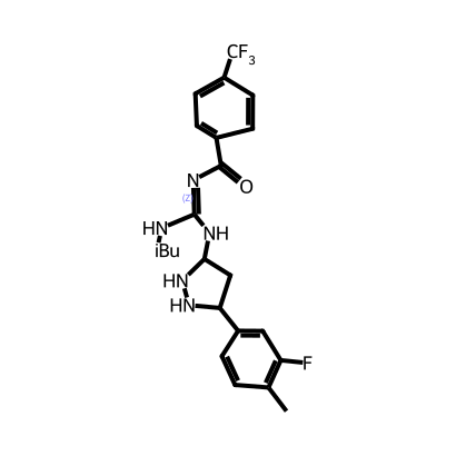 CCC(C)N/C(=N/C(=O)c1ccc(C(F)(F)F)cc1)NC1CC(c2ccc(C)c(F)c2)NN1